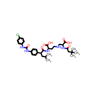 CC(C)CC(C(=O)NC(CCNCC(NC(=O)CC(C)(C)C)C(=O)O)C(=O)O)c1ccc(NC(=O)Nc2ccc(Cl)cc2)cc1